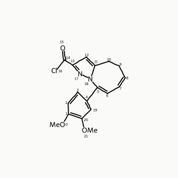 COc1ccc(/C2=C/C=C\CCc3cc(C(=O)Cl)nn32)cc1OC